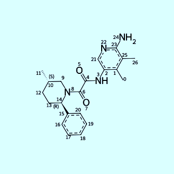 Cc1c(NC(=O)C(=O)N2C[C@@H](C)CC[C@@H]2c2ccccc2)cnc(N)c1C